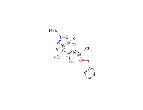 CNC1=N[C@@H]2[C@@H](O)[C@H](O)[C@@H]([C@@H](OCc3ccccc3)C(F)(F)F)O[C@@H]2S1